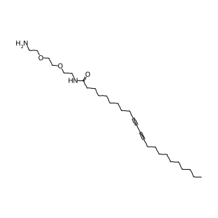 CCCCCCCCCCC#CC#CCCCCCCCCC(=O)NCCOCCOCCN